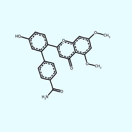 COc1cc(OC)c2c(=O)cc(-c3ccc(O)cc3-c3ccc(C(N)=O)cc3)oc2c1